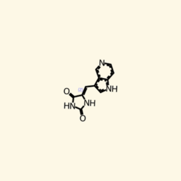 O=C1NC(=O)/C(=C/c2c[nH]c3ccncc23)N1